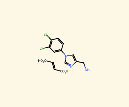 NCc1cn(-c2ccc(Cl)c(Cl)c2)cn1.O=C(O)/C=C/C(=O)O